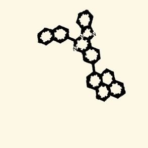 c1ccc2cc(-c3nc4cc(-c5ccc6ccc7cccc8ccc5c6c78)ccc4c4nc5ccccc5n34)ccc2c1